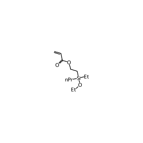 C=CC(=O)OCC[Si](CC)(CCC)OCC